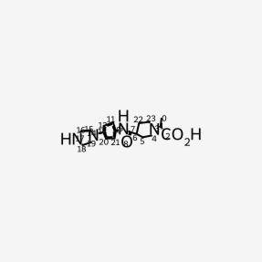 CC(C(=O)O)N1CCC(C(=O)Nc2ccc(N3CCNCC3)cc2)CC1